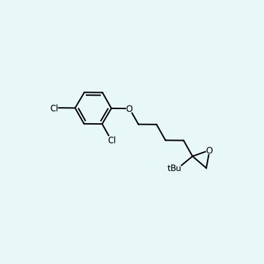 CC(C)(C)C1(CCCCOc2ccc(Cl)cc2Cl)CO1